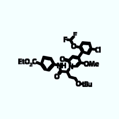 CCOC(=O)c1ccc(NC(=O)C(CCOC(C)(C)C)n2cc(OC)c(-c3cc(Cl)ccc3OC(F)F)cc2=O)cc1